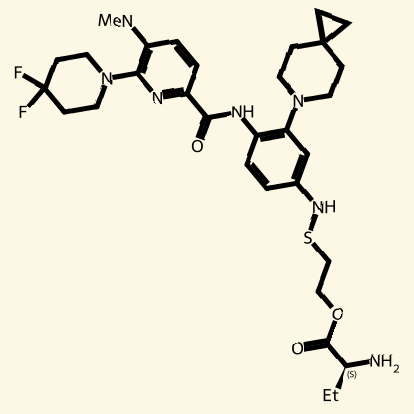 CC[C@H](N)C(=O)OCCSNc1ccc(NC(=O)c2ccc(NC)c(N3CCC(F)(F)CC3)n2)c(N2CCC3(CC2)CC3)c1